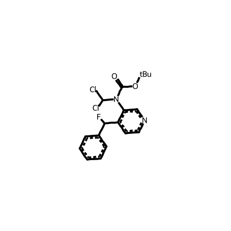 CC(C)(C)OC(=O)N(c1cnccc1C(F)c1ccccc1)C(Cl)Cl